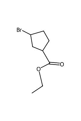 CCOC(=O)C1CCC(Br)C1